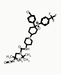 CC(C)(CN(C(=O)NC1CCN(C2CCC(c3ccc(Cl)cc3)(S(=O)(=O)c3ccc(C(F)(F)F)cc3)CC2)CC1)C(C)(C)C)N=C=O